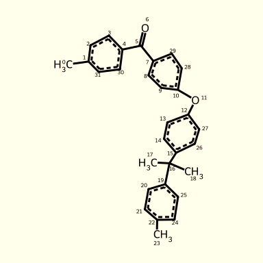 Cc1ccc(C(=O)c2ccc(Oc3ccc(C(C)(C)c4ccc(C)cc4)cc3)cc2)cc1